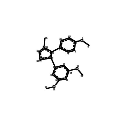 COc1ccc(-c2c(-c3cc(OC)cc(OC)c3)ncn2C)cc1